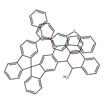 CC1c2ccccc2C=CC1c1cc2c(cc1N(c1ccccc1)c1ccccc1)C1(c3ccccc3-c3ccc(N(c4ccccc4)c4ccc5c(c4)sc4ccccc45)cc31)c1ccccc1-2